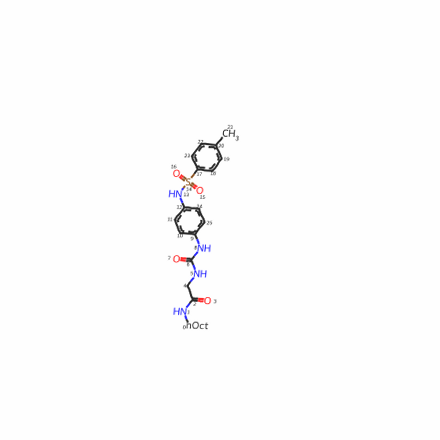 CCCCCCCCNC(=O)CNC(=O)Nc1ccc(NS(=O)(=O)c2ccc(C)cc2)cc1